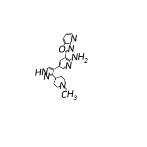 CCN1CCC(c2n[nH]cc2-c2cnc(N)c(-c3nc4ncccc4o3)c2)CC1